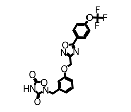 O=c1[nH]c(=O)n(Cc2cccc(OCc3noc(-c4ccc(OC(F)(F)F)cc4)n3)c2)o1